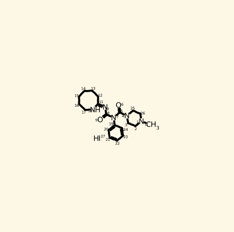 CN1CCN(C(=O)N(C(=O)N=C2CCCCCCN2)c2ccccc2)CC1.I